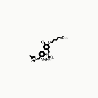 CCCCCCCCCCCCCCOc1cc(CN(C(=O)NC)c2cccc(C[n+]3csc(C)c3)c2)ccc1Cl.[Br-]